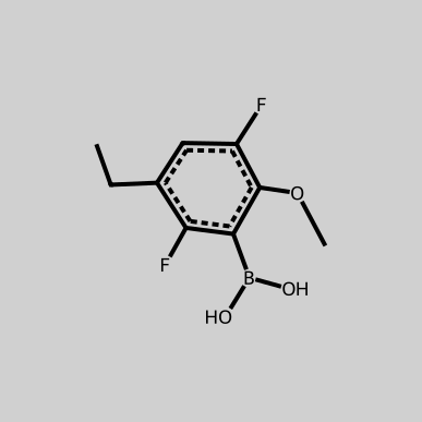 CCc1cc(F)c(OC)c(B(O)O)c1F